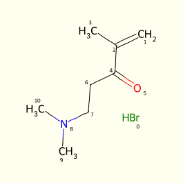 Br.C=C(C)C(=O)CCN(C)C